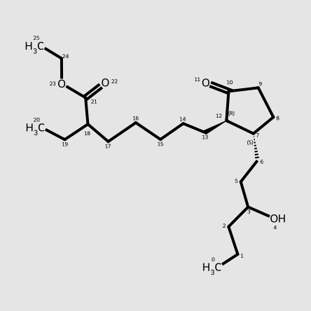 CCCC(O)CC[C@H]1CCC(=O)[C@@H]1CCCCCC(CC)C(=O)OCC